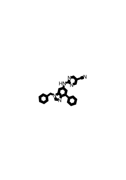 N#Cc1cnc(Nc2cc(-c3ccccc3)c3ncn(Cc4ccccc4)c3c2)nc1